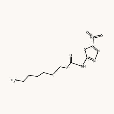 NCCCCCCCC(=O)Nc1nnc([SH](=O)=O)s1